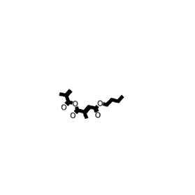 C=C(C)C(=O)OC(=O)C(C)=CC(=O)OCCCC